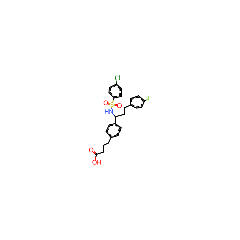 O=C(O)CCCc1ccc(C(CCc2ccc(F)cc2)NS(=O)(=O)c2ccc(Cl)cc2)cc1